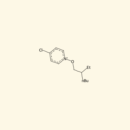 CCCCC(CC)CO[n+]1ccc(Cl)cc1